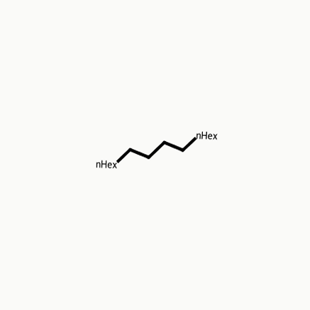 [CH2]CCCCCCCCCCCCC[CH]C